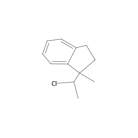 CC(Cl)C1(C)CCc2ccccc21